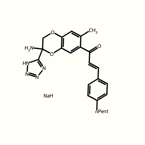 CCCCCc1ccc(C=CC(=O)c2cc3c(cc2C)OCC(N)(c2nnn[nH]2)O3)cc1.[NaH]